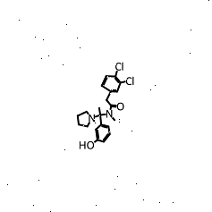 CN(C(=O)Cc1ccc(Cl)c(Cl)c1)C(C)(c1cccc(O)c1)N1CCCC1